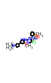 COc1cc(C2CC[C@@H](N(C)C)C2)ccc1Nc1ncc(Cl)c(Nc2ccccc2P(C)(C)=O)n1